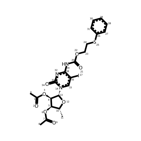 CC(=O)O[C@@H]1[C@H](OC(C)=O)[C@@H](C)O[C@H]1n1cc(I)c(NC(=O)OCCSc2ccccc2)nc1=O